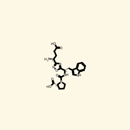 N[C@@H](CCC(=O)O)c1noc([C@H](Cc2c[nH]c3ccccc23)NC(=O)N2CCC[C@@H]2C(=O)O)n1